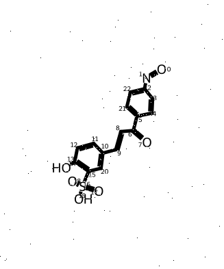 O=Nc1ccc(C(=O)/C=C/c2ccc(O)c(S(=O)(=O)O)c2)cc1